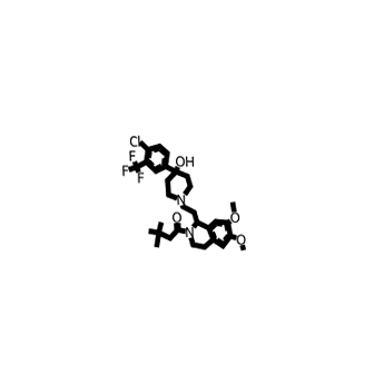 COc1cc2c(cc1OC)C(CCN1CCC(O)(c3ccc(Cl)c(C(F)(F)F)c3)CC1)N(C(=O)CC(C)(C)C)CC2